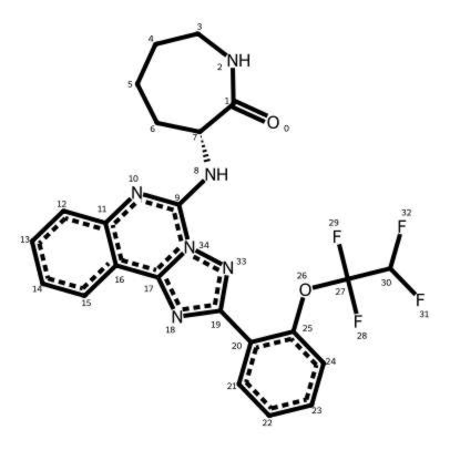 O=C1NCCCC[C@H]1Nc1nc2ccccc2c2nc(-c3ccccc3OC(F)(F)C(F)F)nn12